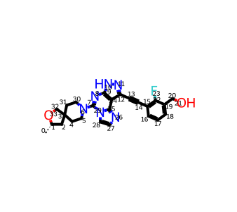 C[C@H]1CC2(CCN(c3nc4[nH]nc(C#Cc5cccc(CO)c5F)c4c4nccn34)CC2)CO1